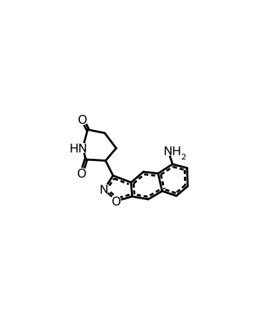 Nc1cccc2cc3onc(C4CCC(=O)NC4=O)c3cc12